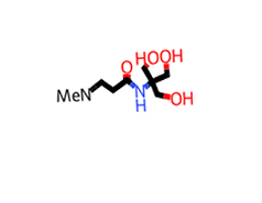 CNCCC(=O)NC(CO)(CO)CO